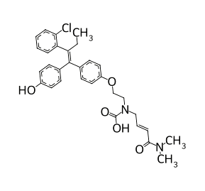 CCC(=C(c1ccc(O)cc1)c1ccc(OCCN(CC=CC(=O)N(C)C)C(=O)O)cc1)c1ccccc1Cl